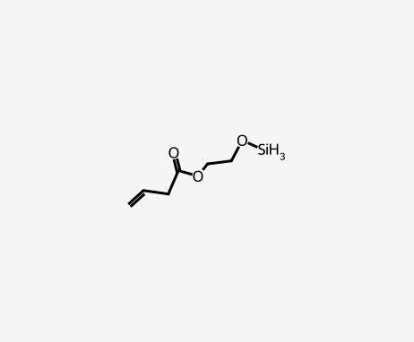 C=CCC(=O)OCCO[SiH3]